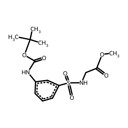 COC(=O)CNS(=O)(=O)c1cccc(NC(=O)OC(C)(C)C)c1